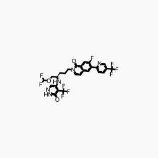 O=c1[nH]ncc(N[C@H](CCCn2ccc3cc(-c4ccc(C(F)(F)F)cn4)c(F)cc3c2=O)COC(F)F)c1C(F)(F)F